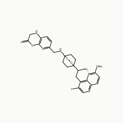 COc1ccc2ncc(F)c(CC(N)C34CCC(NCc5ccc6c(n5)OC(=O)CN6)(CC3)CO4)c2n1